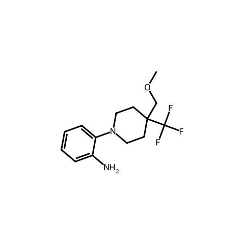 COCC1(C(F)(F)F)CCN(c2ccccc2N)CC1